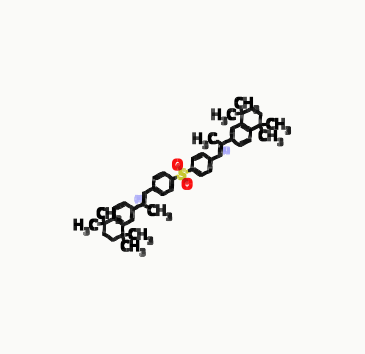 C/C(=C\c1ccc(S(=O)(=O)c2ccc(/C=C(\C)c3ccc4c(c3)C(C)(C)CCC4(C)C)cc2)cc1)c1ccc2c(c1)C(C)(C)CCC2(C)C